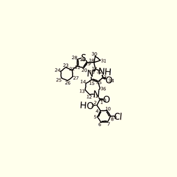 O=C([C@H](O)c1cccc(Cl)c1)N1CCCc2nc(C3(c4cc(C5CCCCC5)cs4)CC3)[nH]c(=O)c2C1